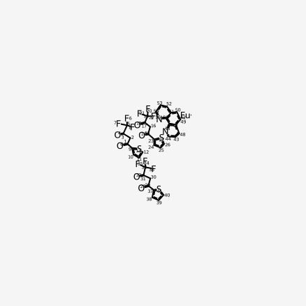 O=C(CC(=O)C(F)(F)F)c1cccs1.O=C(CC(=O)C(F)(F)F)c1cccs1.O=C(CC(=O)C(F)(F)F)c1cccs1.[Eu].c1cnc2c(c1)ccc1cccnc12